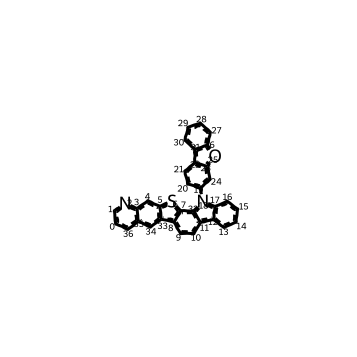 c1cnc2cc3sc4c(ccc5c6ccccc6n(-c6ccc7c(c6)oc6ccccc67)c54)c3cc2c1